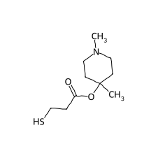 CN1CCC(C)(OC(=O)CCS)CC1